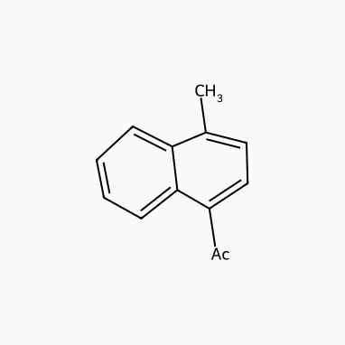 CC(=O)c1ccc(C)c2ccccc12